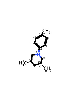 Cc1ccc(N2C[C@H](C)C[C@@H](C)C2)cc1